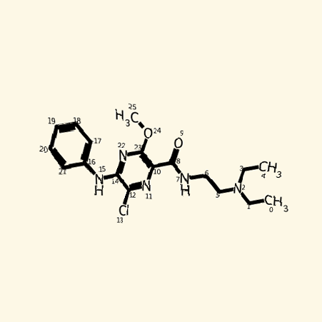 CCN(CC)CCNC(=O)c1nc(Cl)c(Nc2ccccc2)nc1OC